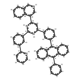 c1ccc(-c2c3ccccc3c(-c3cccc(-c4cc(-c5cncc6ccccc56)nc(-c5cccc(-c6ccccn6)c5)n4)c3)c3ccccc23)cc1